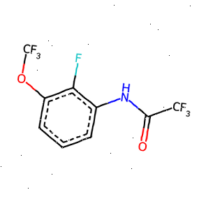 O=C(Nc1cccc(OC(F)(F)F)c1F)C(F)(F)F